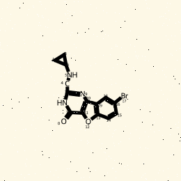 O=c1[nH]c(CNC2CC2)nc2c1oc1ccc(Br)cc12